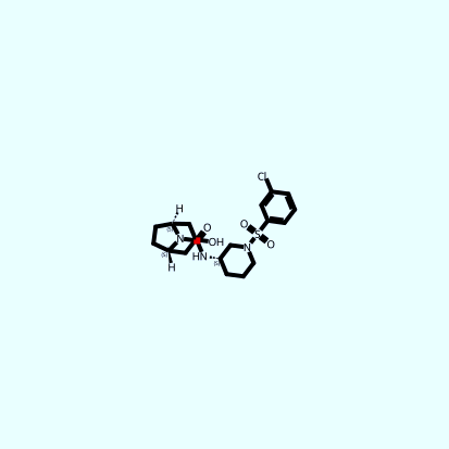 O=C(N[C@H]1CCCN(S(=O)(=O)c2cccc(Cl)c2)C1)N1[C@H]2CC[C@H]1CC(O)C2